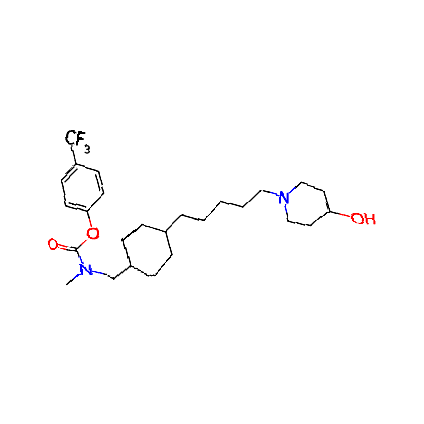 CN(CC1CCC(CCCCCN2CCC(O)CC2)CC1)C(=O)Oc1ccc(C(F)(F)F)cc1